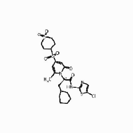 Cc1cc(S(=O)(=O)C2CCS(=O)(=O)CC2)cc(=O)n1[C@H](CC1CCCCC1)C(=O)Nc1ncc(Cl)s1